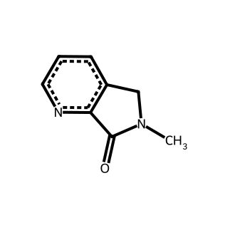 CN1Cc2cccnc2C1=O